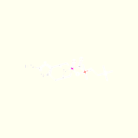 CC(C)(C)OC(=O)N1C2Cc3nc(N)sc3C1CN(C(=O)OCC[Si](C)(C)C)C2